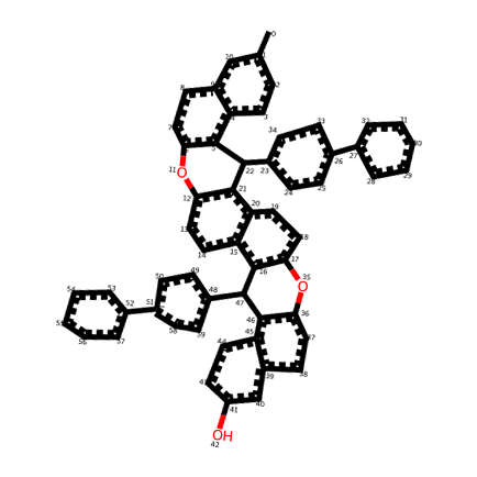 Cc1ccc2c3c(ccc2c1)Oc1ccc2c4c(ccc2c1C3c1ccc(-c2ccccc2)cc1)Oc1ccc2cc(O)ccc2c1C4c1ccc(-c2ccccc2)cc1